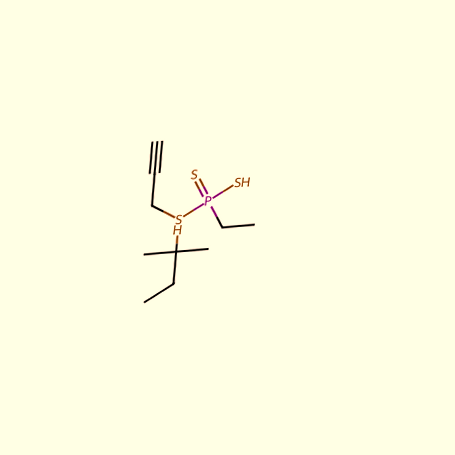 C#CC[SH](C(C)(C)CC)P(=S)(S)CC